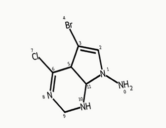 NN1C=C(Br)C2C(Cl)=NCNC21